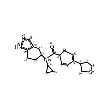 O=C(C1C=CC(C2CCSC2)=CC1)N(C1CC1)C1CCc2[nH]ncc2C1